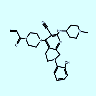 C=CC(=O)N1CCN(c2c(C#N)c(NC3CCN(C)CC3)nc3c2CCN(c2ccccc2O)C3)CC1